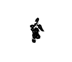 c1ccc(-c2cc(-c3cccc(-c4ccc5c(c4)C4(c6ccccc6-c6ccccc64)c4cc6c(cc4-5)Oc4ccccc4O6)c3)nc(-c3ccccc3)n2)cc1